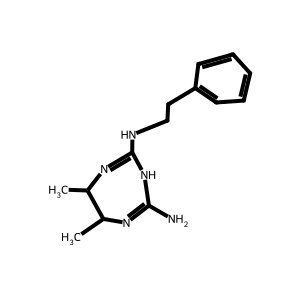 CC1N=C(N)NC(NCCc2ccccc2)=NC1C